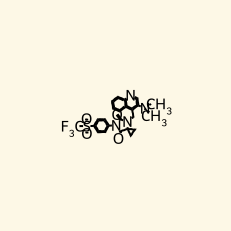 CN(C)c1cnc2ccccc2c1CN1C(=O)N(c2ccc(S(=O)(=O)C(F)(F)F)cc2)C(=O)C12CC2